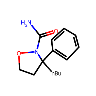 CCCCC1(c2ccccc2)CCON1C(N)=O